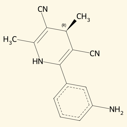 CC1=C(C#N)[C@@H](C)C(C#N)=C(c2cccc(N)c2)N1